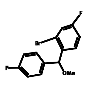 COC(c1ccc(F)cc1)c1ccc(F)cc1Br